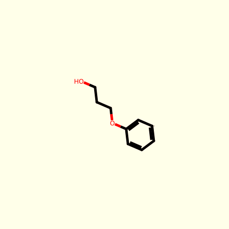 OCCCOc1c[c]ccc1